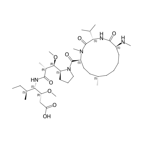 CC[C@H](C)[C@H](NC(=O)[C@H](C)[C@@H](OC)[C@@H]1CCCN1C(=O)[C@@H]1CC[C@@H](C)CCCC[C@H](NC)C(=O)N[C@@H](C(C)C)C(=O)N1C)[C@@H](CC(=O)O)OC